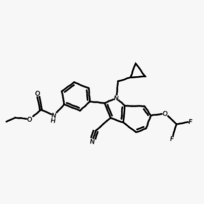 CCOC(=O)Nc1cccc(-c2c(C#N)c3ccc(OC(F)F)cc3n2CC2CC2)c1